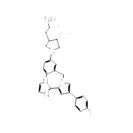 NCCC1CN(c2ccc3c(c2)Cn2cc(-c4ccc(F)cc4)cc2-c2nccn2-3)C[C@@H]1O